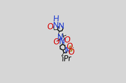 CC(C)Cc1cn(S(C)(=O)=O)c2cc(N3C(=O)N(Cc4ccnc5c4CC(=O)N5)C(C)(C)C3=O)ccc12